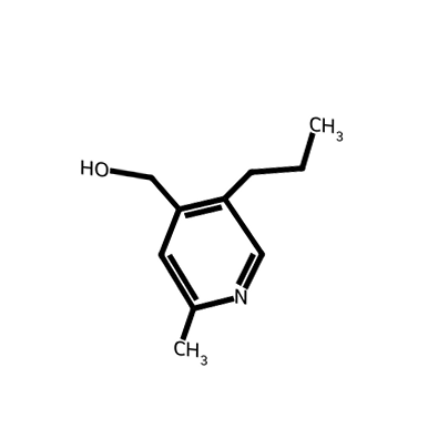 CCCc1cnc(C)cc1CO